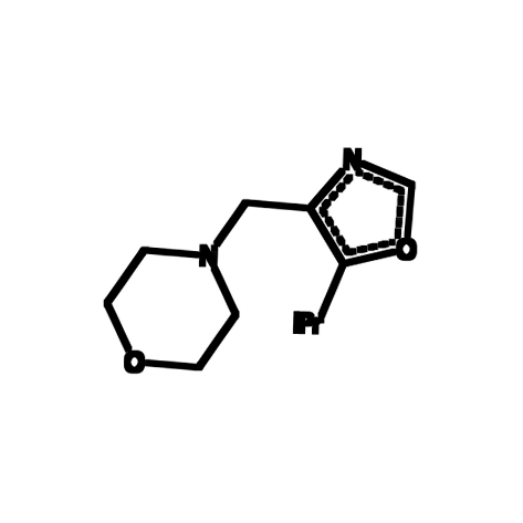 CC(C)c1ocnc1CN1CCOCC1